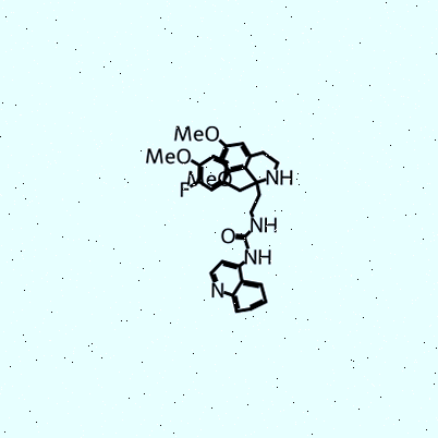 COc1cc2c(c(OC)c1)C(CCNC(=O)Nc1ccnc3ccccc13)(Cc1ccc(OC)c(F)c1)NCC2